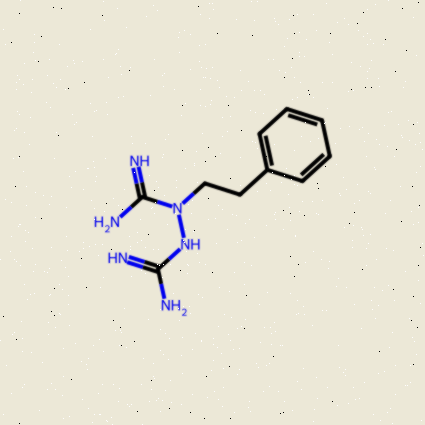 N=C(N)NN(CCc1ccccc1)C(=N)N